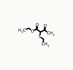 CCOC(=O)C(SCC)C(C)=O